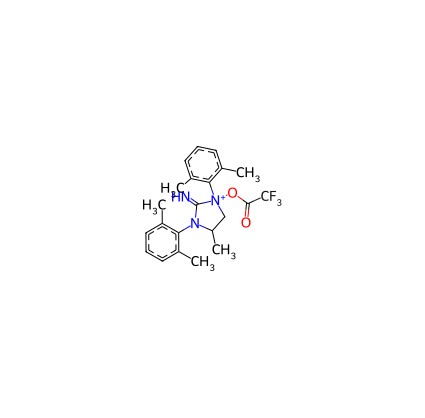 Cc1cccc(C)c1N1C(=N)[N+](OC(=O)C(F)(F)F)(c2c(C)cccc2C)CC1C